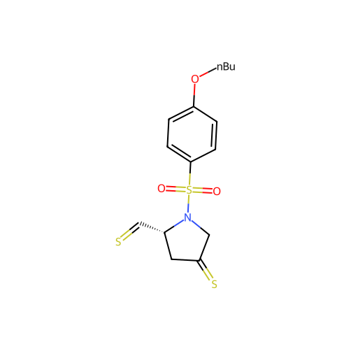 CCCCOc1ccc(S(=O)(=O)N2CC(=S)C[C@@H]2C=S)cc1